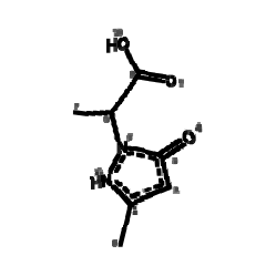 Cc1cc(=O)n(C(C)C(=O)O)[nH]1